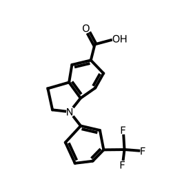 O=C(O)c1ccc2c(c1)CCN2c1cccc(C(F)(F)F)c1